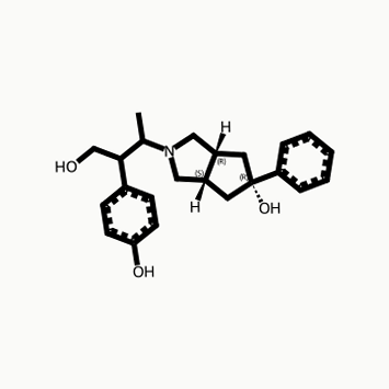 CC(C(CO)c1ccc(O)cc1)N1C[C@@H]2C[C@@](O)(c3ccccc3)C[C@@H]2C1